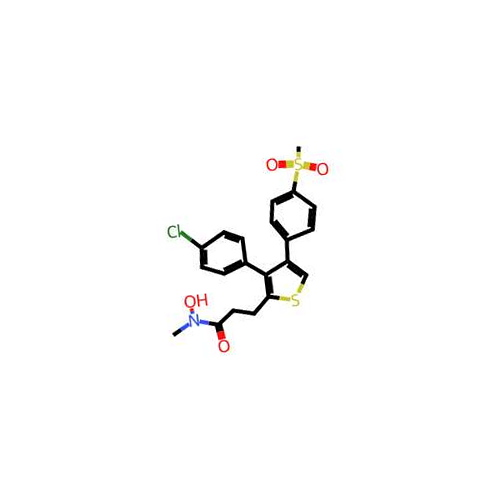 CN(O)C(=O)CCc1scc(-c2ccc(S(C)(=O)=O)cc2)c1-c1ccc(Cl)cc1